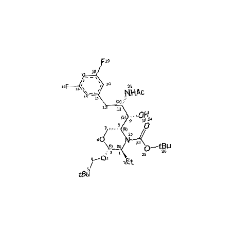 CC[C@H]1[C@H](OCC(C)(C)C)OC[C@H]([C@@H](O)[C@H](Cc2cc(F)cc(F)c2)NC(C)=O)N1C(=O)OC(C)(C)C